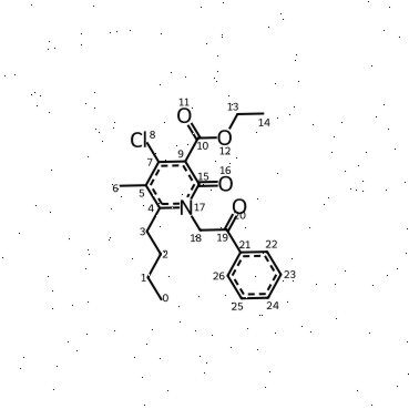 CCCCc1c(C)c(Cl)c(C(=O)OCC)c(=O)n1CC(=O)c1ccccc1